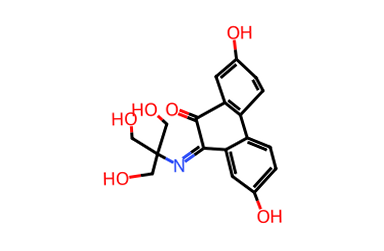 O=C1C(=NC(CO)(CO)CO)c2cc(O)ccc2-c2ccc(O)cc21